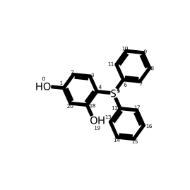 Oc1ccc([S+](c2ccccc2)c2ccccc2)c(O)c1